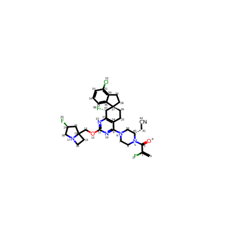 C=C(F)C(=O)N1CCN(c2nc(OCC34CCN3C[C@@H](F)C4)nc3c2CC[C@@]2(CCc4c(Cl)cccc42)[C@H]3F)C[C@@H]1CC#N